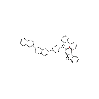 c1ccc(-c2ccccc2N(c2ccc(-c3ccc4ccc(-c5ccc6ccccc6c5)cc4c3)cc2)c2ccc3c(c2)oc2ccccc23)cc1